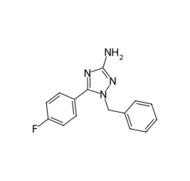 Nc1nc(-c2ccc(F)cc2)n(Cc2ccccc2)n1